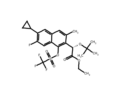 CCOC(=O)[C@@H](OC(C)(C)C)c1c(C)cc2cc(C3CC3)c(F)cc2c1OS(=O)(=O)C(F)(F)F